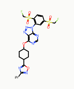 CC(C)c1noc(C2CCC(Oc3ncnc4c3nnn4-c3cc(S(=O)(=O)CF)ccc3S(=O)(=O)CF)CC2)n1